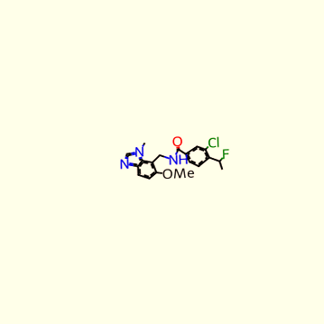 COc1ccc2ncn(C)c2c1CNC(=O)c1ccc(C(C)F)c(Cl)c1